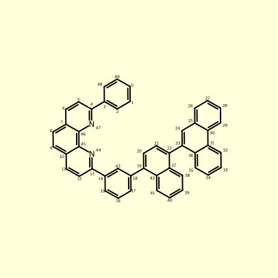 c1ccc(-c2ccc3ccc4ccc(-c5cccc(-c6ccc(-c7cc8ccccc8c8ccccc78)c7ccccc67)c5)nc4c3n2)cc1